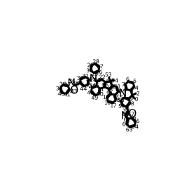 CC1(C)c2ccccc2N(c2cc3c(c4ccccc24)-c2c(cc(N(c4ccccc4)c4ccc(-c5nc6ccccc6o5)cc4)c4ccccc24)C3(C)C)c2ccc(-c3nc4ccccc4o3)cc21